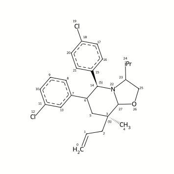 C=CC[C@@]1(C)CC(c2cccc(Cl)c2)[C@@H](c2ccc(Cl)cc2)N2C(C(C)C)COC21